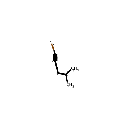 CC(C)CC#C[S]